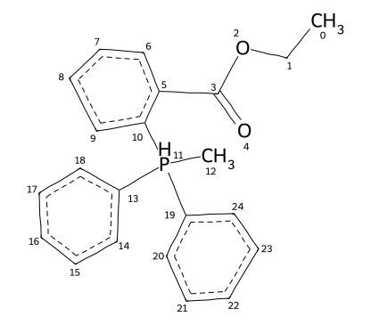 CCOC(=O)c1ccccc1[PH](C)(c1ccccc1)c1ccccc1